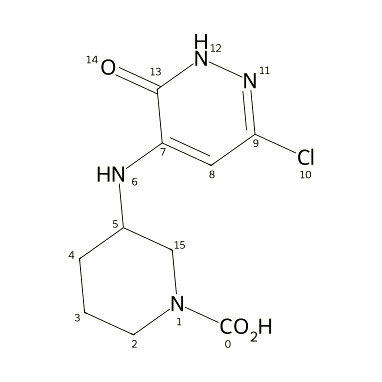 O=C(O)N1CCCC(Nc2cc(Cl)n[nH]c2=O)C1